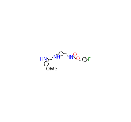 COc1ccc2[nH]cc(CCNCc3ccc(CCCNC(=O)COCc4ccc(F)cc4)cc3)c2c1